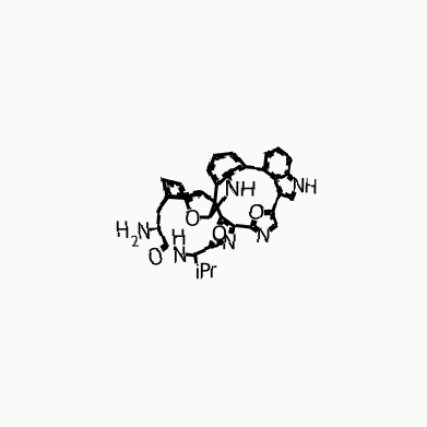 CC(C)C1NC(=O)[C@@H](N)Cc2ccc3c(c2)C24c5cccc(c5NC2O3)-c2cccc3[nH]cc(c23)-c2cnc(o2)-c2nc1oc24